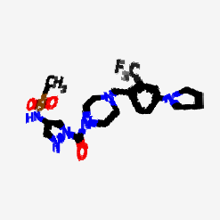 CS(=O)(=O)Nc1cnn(C(=O)N2CCN(Cc3ccc(N4CCCC4)cc3C(F)(F)F)CC2)c1